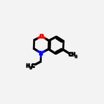 CCN1CCOc2ccc(C)cc21